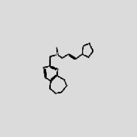 CN(C/C=C/C1CCCC1)Cc1ccc2c(c1)CCCCC2